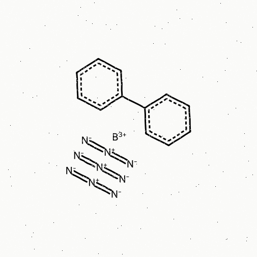 [B+3].[N-]=[N+]=[N-].[N-]=[N+]=[N-].[N-]=[N+]=[N-].c1ccc(-c2ccccc2)cc1